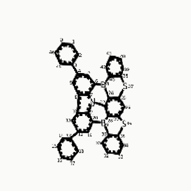 c1ccc(-c2cc3c4c(c2)c2cc(-c5ccccc5)cc5c2n4-c2c4c(cc6c2B5c2ccccc2S6)Sc2ccccc2B43)cc1